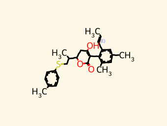 C/C=C/c1cc(C)cc(C)c1C1=C(O)CC(C(C)CSc2ccc(C)cc2)OC1=O